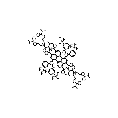 C=C(C)C(=O)OCCN(CCOC(=O)C(=C)C)C(=O)C(C(C)C)N1C(=O)c2cc(Oc3cccc(C(F)(F)F)c3)c3c4c(Oc5cccc(C(F)(F)F)c5)cc5c6c(cc(Oc7cccc(C(F)(F)F)c7)c(c7c(Oc8cccc(C(F)(F)F)c8)cc(c2c37)C1=O)c64)C(=O)N(C(C(=O)N(CCOC(=O)C(C)C)CCOC(=O)C(C)C)C(C)C)C5=O